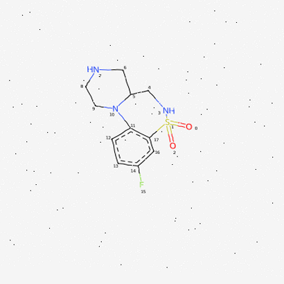 O=S1(=O)NCC2CNCCN2c2ccc(F)cc21